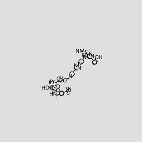 CNc1nn(C2CCN(c3ncc(C4CCN(CCOc5cc(C(C(=O)N6C[C@H](O)C[C@H]6C(=O)N[C@@H](C)c6ccc(-c7scnc7C)cc6)C(C)C)on5)CC4)cn3)CC2)c2cc(-c3ccccc3O)nnc12